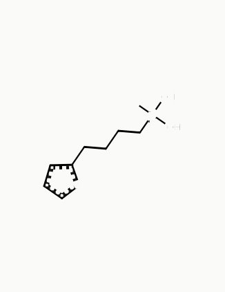 O[PH](O)(O)CCCCc1cccs1